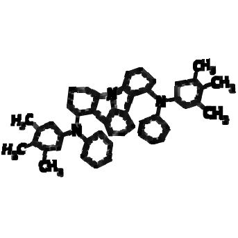 Cc1cc(N(c2ccccc2)c2cccc3c2c2cccc4c5c(N(c6ccccc6)c6cc(C)c(C)c(C)c6)cccc5n3c24)cc(C)c1C